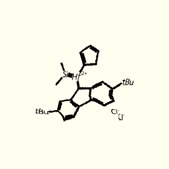 C[Si](C)=[Hf+2]([C]1=CC=CC1)[CH]1c2cc(C(C)(C)C)ccc2-c2ccc(C(C)(C)C)cc21.[Cl-].[Cl-]